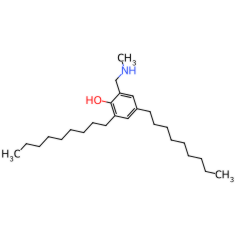 CCCCCCCCCc1cc(CCCCCCCCC)c(O)c(CNC)c1